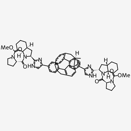 COC(=O)N1CCC[C@H]1C(=O)N1[C@H](c2nc(-c3ccc(C4=C5C=C[C@H](C4)[C@H](C)Cc4ccc(cc4-c4ccc(-c6c[nH]c([C@@H]7C[C@@H]8CCCC[C@@H]8N7C(=O)[C@@H]7CCCN7C(=O)OC)n6)cc4)CC5)cc3)c[nH]2)C[C@@H]2CCCC[C@@H]21